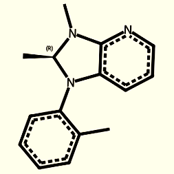 Cc1ccccc1N1c2cccnc2N(C)[C@@H]1C